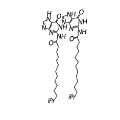 CC(C)CCCCCCCCCCCC(=O)Nc1nc2nc[nH]c2c(=O)[nH]1.CC(C)CCCCCCCCCCCC(=O)Nc1nc2nc[nH]c2c(=O)[nH]1